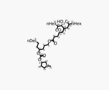 CCCCCCCCCCCCC(CCCOC(=O)CCCCC(CC(CCCCCC)C(=O)O)CC(CCCCCC)C(=O)O)OC(=O)O[C@H]1CCN(C)C1